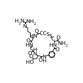 NC(=O)C1CSSCCC(=O)NC(CCCCN=C(N)N)C(=O)NCC(=O)NC(CC(=O)O)C(=O)Nc2cccc(c2)C(=O)N1